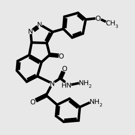 COc1ccc(C2=C3C(=O)c4c(cccc4N(C(=O)NN)C(=O)c4cccc(N)c4)C3N=N2)cc1